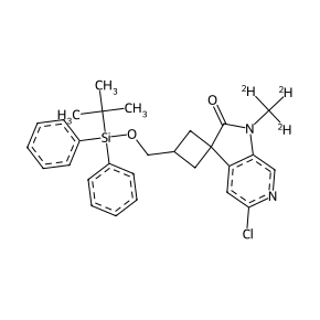 [2H]C([2H])([2H])N1C(=O)C2(CC(CO[Si](c3ccccc3)(c3ccccc3)C(C)(C)C)C2)c2cc(Cl)ncc21